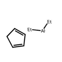 C1=CCC=C1.C[CH2][Al][CH2]C